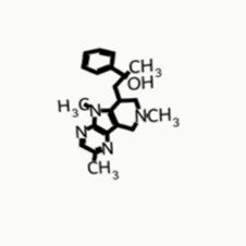 Cc1cnc2c(n1)c1c(n2C)C(CC(C)(O)c2ccccc2)CN(C)C1